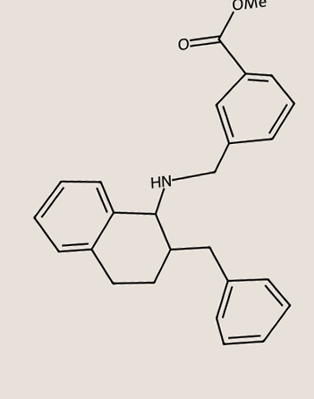 COC(=O)c1cccc(CNC2c3ccccc3CCC2Cc2ccccc2)c1